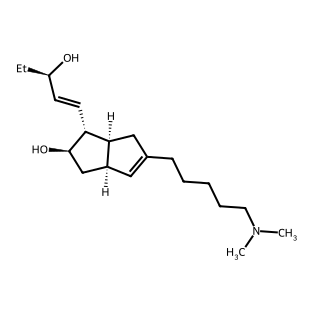 CC[C@@H](O)/C=C/[C@@H]1[C@H]2CC(CCCCCN(C)C)=C[C@H]2C[C@H]1O